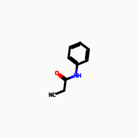 N#CCC(=O)Nc1cc[c]cc1